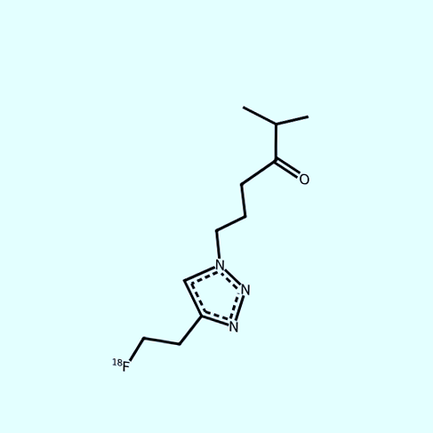 CC(C)C(=O)CCCn1cc(CC[18F])nn1